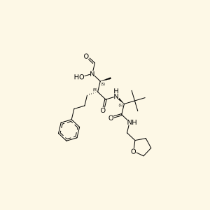 C[C@@H]([C@@H](CCCc1ccccc1)C(=O)N[C@H](C(=O)NCC1CCCO1)C(C)(C)C)N(O)C=O